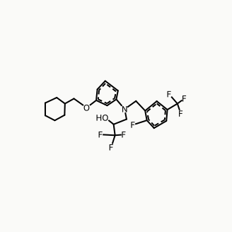 OC(CN(Cc1cc(C(F)(F)F)ccc1F)c1cccc(OCC2CCCCC2)c1)C(F)(F)F